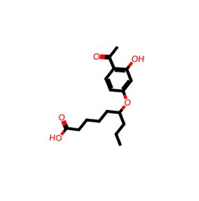 CCCC(CCCCC(=O)O)Oc1ccc(C(C)=O)c(O)c1